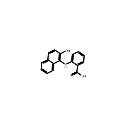 O=C(O)c1ccccc1Nc1c(O)ccc2ccccc12